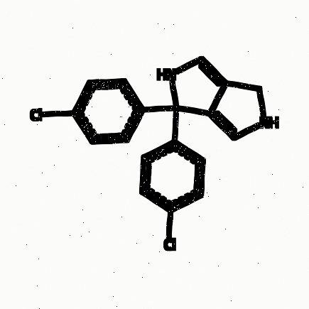 Clc1ccc(C2(c3ccc(Cl)cc3)NC=C3CNC=C32)cc1